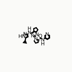 O=C(Nc1cccnc1)[C@@H]1CCCN1c1nc2c(c(Nc3cc(C4CC4)[nH]n3)n1)CCC2